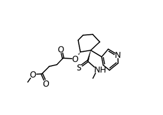 CNC(=S)[C@]1(c2cccnc2)CCCC[C@H]1OC(=O)CCC(=O)OC